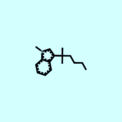 CCCCC(C)(C)c1cn(C)c2ccccc12